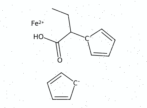 CCC(C(=O)O)[c-]1cccc1.[Fe+2].c1cc[cH-]c1